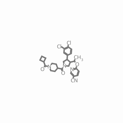 CC(Oc1ccc(C#N)cn1)C1CN(C(=O)C2CCN(C(=O)C3CCC3)CC2)CC1c1ccc(Cl)c(Cl)c1